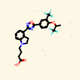 CC(Oc1ccc(-c2nc(-c3cccc4c3CCN4CCCC(=O)O)no2)cc1C(F)(F)F)C(F)(F)F